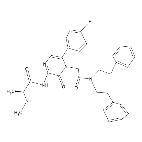 CN[C@@H](C)C(=O)Nc1ncc(-c2ccc(F)cc2)n(CC(=O)N(CCc2ccccc2)CCc2ccccc2)c1=O